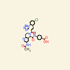 CC(=O)Nc1cnc2c(c1)C(C(=O)Nc1ccc(C(=O)O)cc1)N(C(=O)/C=C/c1cc(Cl)ccc1-n1cnnn1)CC2